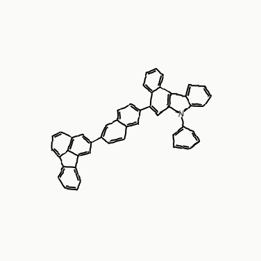 c1ccc(-n2c3ccccc3c3c4ccccc4c(-c4ccc5cc(-c6cc7c8c(cccc8c6)-c6ccccc6-7)ccc5c4)cc32)cc1